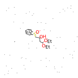 CCOC(CC(O)C[S+]([O-])[13c]1ccccc1)OCC